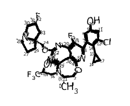 C[C@H]1COc2nc(-c3cc(O)cc(Cl)c3C3CC3)c(F)c3nc(OC[C@@]45CCCN4C[C@H](F)C5)nc(c23)N1C[C@H](O)C(F)(F)F